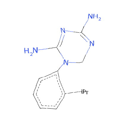 CC(C)c1ccccc1N1CN=C(N)N=C1N